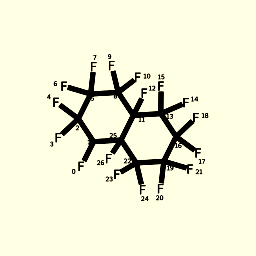 FC1C(F)(F)C(F)(F)C(F)(F)C2(F)C(F)(F)C(F)(F)C(F)(F)C(F)(F)C12F